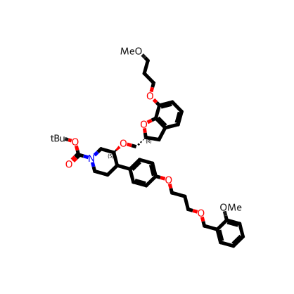 COCCCOc1cccc2c1O[C@@H](CO[C@@H]1CN(C(=O)OC(C)(C)C)CCC1c1ccc(OCCCOCc3ccccc3OC)cc1)C2